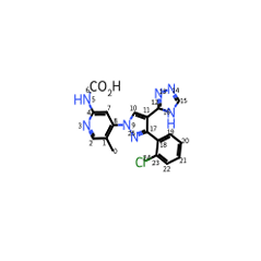 Cc1cnc(NC(=O)O)cc1-n1cc(-c2nnc[nH]2)c(-c2ccccc2Cl)n1